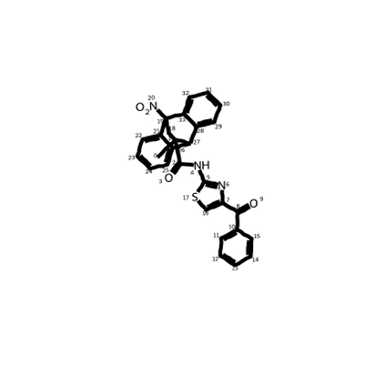 CC1(C(=O)Nc2nc(C(=O)c3ccccc3)cs2)CC2([N+](=O)[O-])c3ccccc3C1c1ccccc12